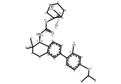 CC(C)Oc1ccc(-c2ccc3c(c2)CCC(C)(C)[C@H]3NC(=O)O[C@H]2CN3CCC2CC3)c(Cl)c1